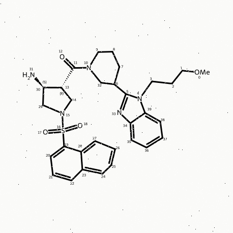 COCCCn1c(C2CCCN(C(=O)[C@@H]3CN(S(=O)(=O)c4cccc5ccccc45)C[C@H]3N)C2)nc2ccccc21